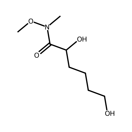 CON(C)C(=O)C(O)CCCCO